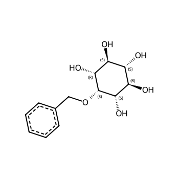 O[C@@H]1[C@@H](O)[C@H](O)[C@H](OCc2ccccc2)[C@H](O)[C@H]1O